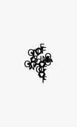 CCS(=O)(=O)Nc1ccc(Oc2ccc(F)cc2F)c(-c2cn(C)c(=O)c3cc(C(=O)N4CCC(F)(F)CC4)sc23)c1